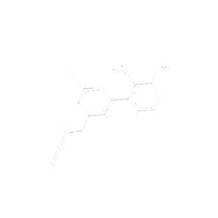 COc1cccc(-c2cc(Cl)cc(CN=[N+]=[N-])c2)c1OC